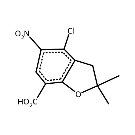 CC1(C)Cc2c(Cl)c([N+](=O)[O-])cc(C(=O)O)c2O1